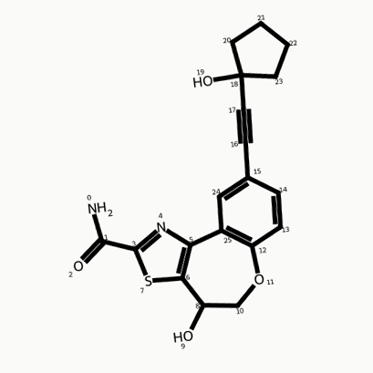 NC(=O)c1nc2c(s1)C(O)COc1ccc(C#CC3(O)CCCC3)cc1-2